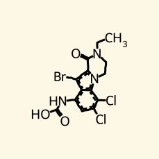 CCN1CCn2c(c(Br)c3c(NC(=O)O)cc(Cl)c(Cl)c32)C1=O